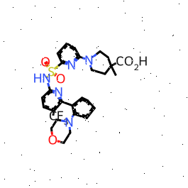 CC1(C(=O)O)CCN(c2cccc(S(=O)(=O)Nc3ccc(C(F)(F)F)c(-c4ccccc4N4CCOCC4)n3)n2)CC1